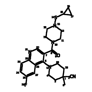 CC1(C#N)CCN(c2c(C(=O)N3CCN(SC4CC4)CC3)cnc3ccc(F)cc23)CC1